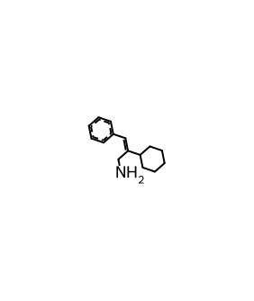 NCC(=Cc1ccccc1)C1CCCCC1